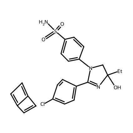 CCC1(O)CN(c2ccc(S(N)(=O)=O)cc2)C(c2ccc(Cl)cc2)=N1.c1cc2ccc1-2